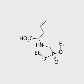 C=CCC(NCP(=O)(OCC)OCC)C(=O)O